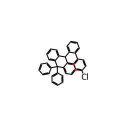 Clc1ccc(-c2ccccc2C2c3ccccc3C(c3ccccc3)(c3ccccc3)c3ccccc32)cc1